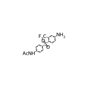 CC(=O)Nc1ccc(S(=O)(=O)c2ccc(N)cc2C(F)(F)F)cc1